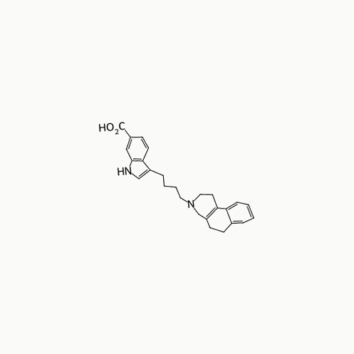 O=C(O)c1ccc2c(CCCCN3CCC4=C(CCc5ccccc54)C3)c[nH]c2c1